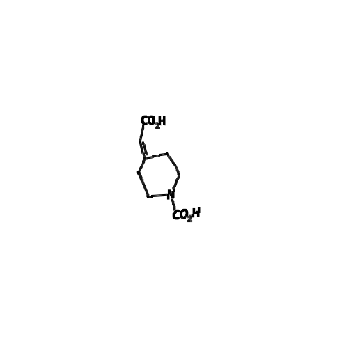 O=C(O)C=C1CCN(C(=O)O)CC1